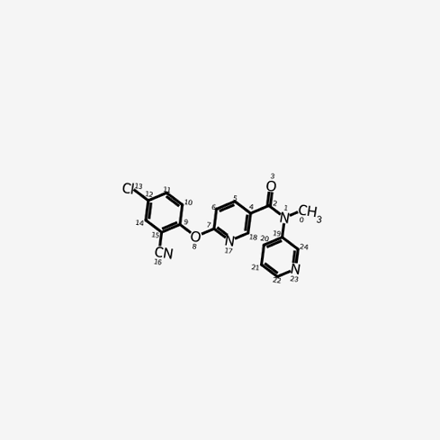 CN(C(=O)c1ccc(Oc2ccc(Cl)cc2C#N)nc1)c1cccnc1